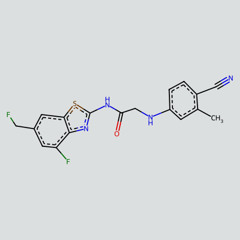 Cc1cc(NCC(=O)Nc2nc3c(F)cc(CF)cc3s2)ccc1C#N